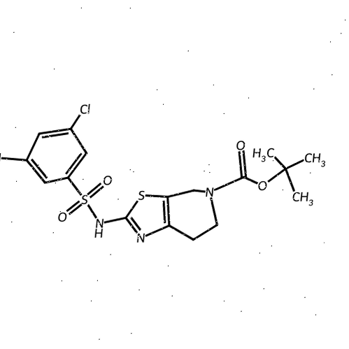 CC(C)(C)OC(=O)N1CCc2nc(NS(=O)(=O)c3cc(Cl)cc(Cl)c3)sc2C1